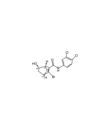 O=C(Nc1ccc(Cl)c(Cl)c1)C1=C(Br)[C@@H]2C[C@@H](O)[C@H]1O2